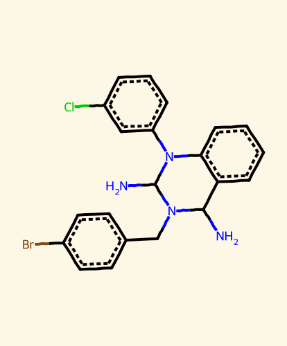 NC1c2ccccc2N(c2cccc(Cl)c2)C(N)N1Cc1ccc(Br)cc1